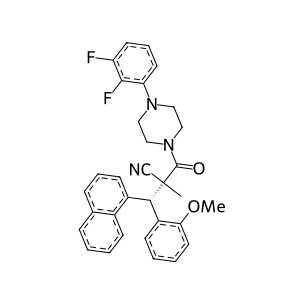 COc1ccccc1[C@H](c1cccc2ccccc12)C(C)(C#N)C(=O)N1CCN(c2cccc(F)c2F)CC1